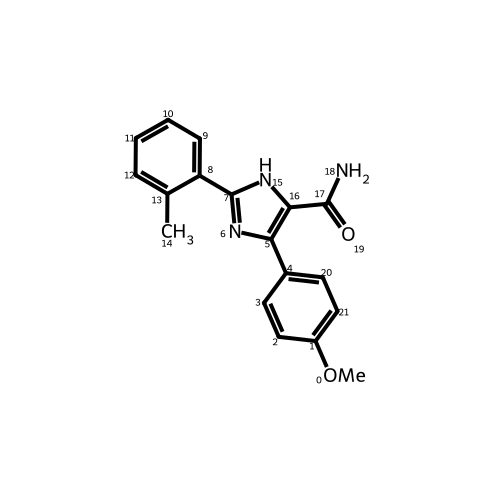 COc1ccc(-c2nc(-c3ccccc3C)[nH]c2C(N)=O)cc1